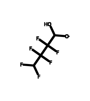 [O]C(O)C(F)(F)C(F)(F)[C](F)F